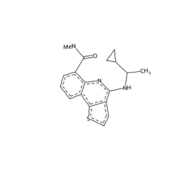 CNC(=O)c1cccc2c1nc(NC(C)C1CC1)c1ccsc12